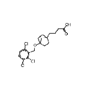 O=C(O)CCCC12CCC(OCc3c(Cl)ccc(Cl)c3Cl)(CC1)C2